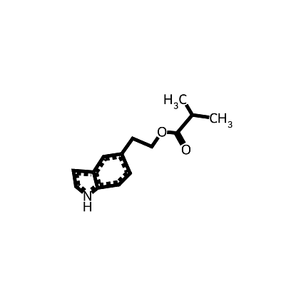 CC(C)C(=O)OCCc1ccc2[nH]ccc2c1